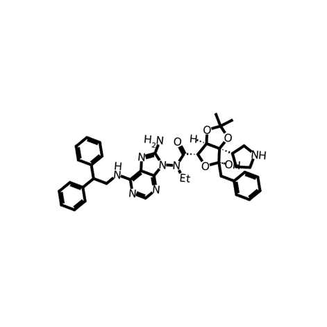 CCN(C(=O)[C@H]1O[C@](O)(Cc2ccccc2)[C@]2(C3CCNC3)OC(C)(C)O[C@H]12)n1c(N)nc2c(NCC(c3ccccc3)c3ccccc3)ncnc21